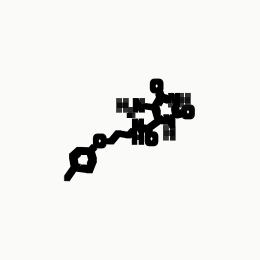 Cc1ccc(OCCCNC(=O)c2[nH]c(=O)[nH]c(=O)c2N)cc1